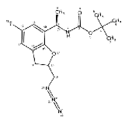 C[C@@H](NC(=O)OC(C)(C)C)c1cc(F)cc2c1OC(CN=[N+]=[N-])C2